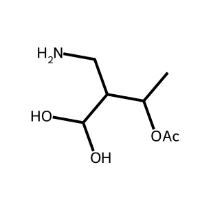 CC(=O)OC(C)C(CN)C(O)O